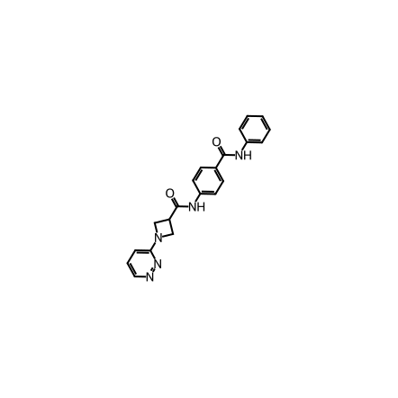 O=C(Nc1ccccc1)c1ccc(NC(=O)C2CN(c3cccnn3)C2)cc1